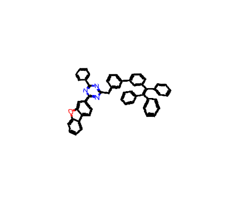 c1ccc(C(=C(c2ccccc2)c2cccc(-c3cccc(Cc4nc(-c5ccccc5)nc(-c5ccc6c(c5)oc5ccccc56)n4)c3)c2)c2ccccc2)cc1